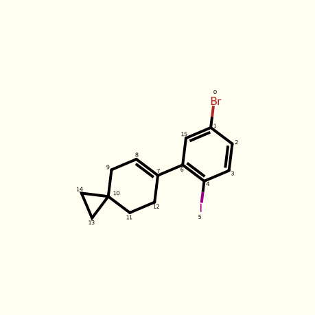 Brc1ccc(I)c(C2=CCC3(CC2)CC3)c1